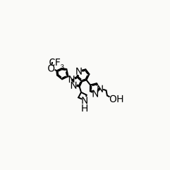 OCCn1cc(-c2ccnc3c2c(C2CNC2)nn3-c2ccc(OC(F)(F)F)cc2)cn1